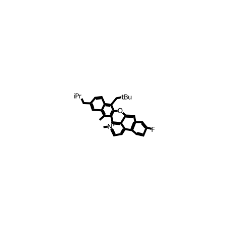 Cc1c2c(c(CC(C)(C)C)c3ccc(CC(C)C)cc13)Oc1cc3cc(F)ccc3c3cc[n+](C)c-2c13